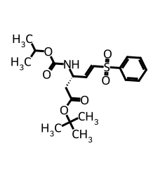 CC(C)OC(=O)N[C@H](/C=C/S(=O)(=O)c1ccccc1)CC(=O)OC(C)(C)C